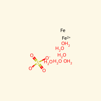 O.O.O.O.O.O.O=S(=O)([O-])[O-].[Fe+2].[Fe]